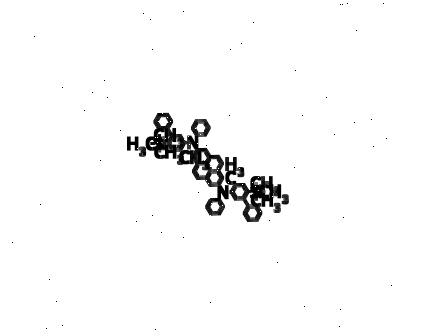 Cc1cc([Si](C)(C)C)c(-c2ccccc2)cc1N(c1ccccc1)c1cc2ccc3cc(N(c4ccccc4)c4cc(-c5ccccc5)c([Si](C)(C)C)cc4C)cc4ccc(c1)c2c34